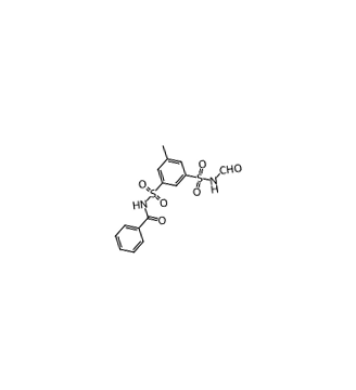 Cc1cc(S(=O)(=O)NC=O)cc(S(=O)(=O)NC(=O)c2ccccc2)c1